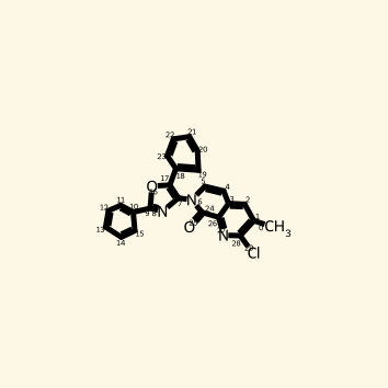 Cc1cc2ccn(-c3nc(-c4ccccc4)oc3-c3ccccc3)c(=O)c2nc1Cl